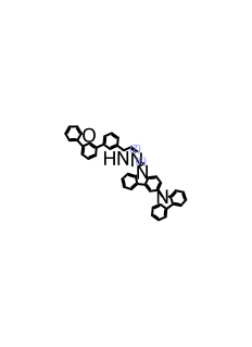 N=C(/C=C\N=C\n1c2ccccc2c2cc(-n3c4ccccc4c4ccccc43)ccc21)c1cccc(-c2cccc3c2oc2ccccc23)c1